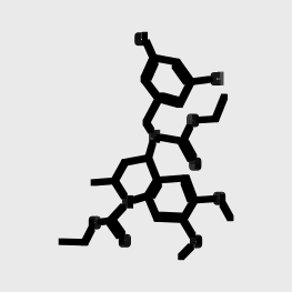 CCOC(=O)N(Cc1cc(Cl)cc(Cl)c1)C1CC(C)N(C(=O)OCC)c2cc(OC)c(OC)cc21